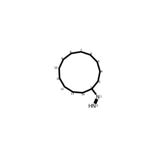 N=NC1CCCCCCCCCCCC1